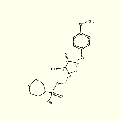 COc1ccc(O[C@@H]2O[C@H](COP(=O)(O)N3CCOCC3)[C@@H](O)[C@H]2O)cc1